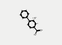 O=C([O-])c1ccc(-c2ccccc2)cc1.[K+]